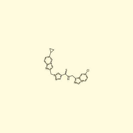 S=C(NCc1ncn2ccc(Cl)cc12)c1cnn(Cc2cn3cc(C4CC4)ccc3n2)c1